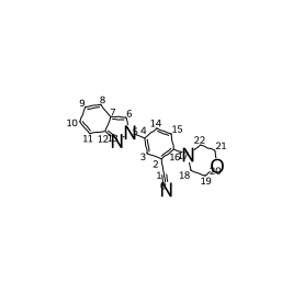 N#Cc1cc(-n2cc3ccccc3n2)ccc1N1CCOCC1